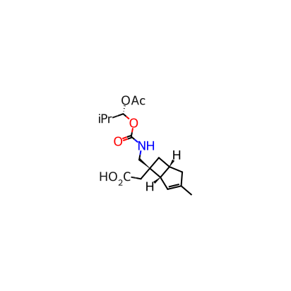 CC(=O)O[C@H](OC(=O)NC[C@@]1(CC(=O)O)C[C@@H]2CC(C)=C[C@@H]21)C(C)C